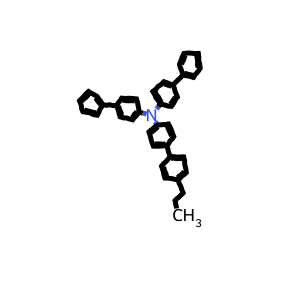 CCCc1ccc(-c2ccc(N(c3ccc(-c4ccccc4)cc3)c3ccc(-c4ccccc4)cc3)cc2)cc1